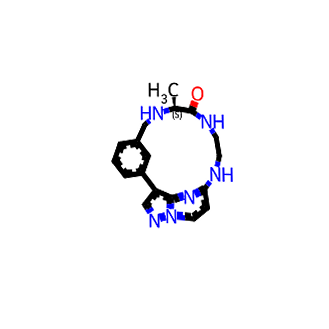 C[C@@H]1NCc2cccc(c2)-c2cnn3ccc(nc23)NCCNC1=O